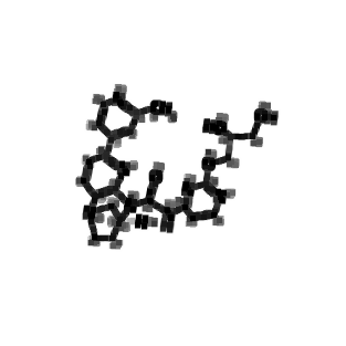 Cc1cc(-c2ccc3c(n2)N(C(=O)Nc2ccnc(OCC(O)CO)n2)[C@H]2CCN3C2)ccn1